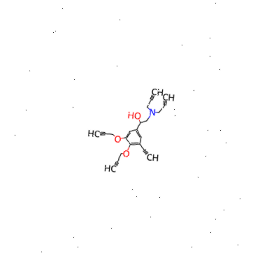 C#CCOc1cc(C(O)CN(CC#C)CC#C)cc(C#C)c1OCC#C